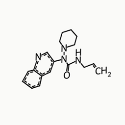 C=CCNC(=O)N(c1cnc2ccccc2c1)N1CCCCC1